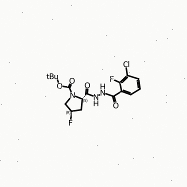 CC(C)(C)OC(=O)N1C[C@H](F)C[C@H]1C(=O)NNC(=O)c1cccc(Cl)c1F